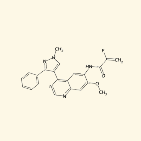 C=C(F)C(=O)Nc1cc2c(-c3cn(C)nc3-c3ccccc3)ncnc2cc1OC